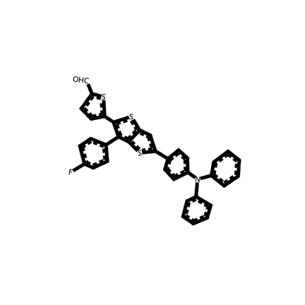 O=Cc1ccc(-c2sc3cc(-c4ccc(N(c5ccccc5)c5ccccc5)cc4)sc3c2-c2ccc(F)cc2)s1